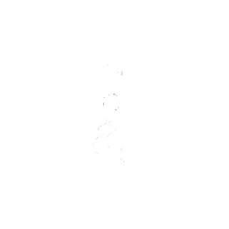 CC(C)(NC=O)c1ccc(-n2cc3cccc(C(N)=O)c3n2)cc1